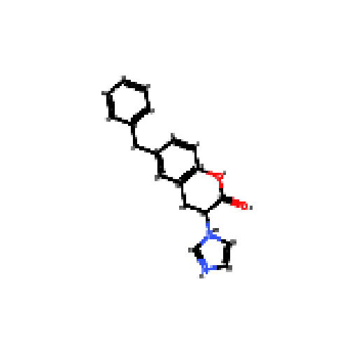 O=C1Oc2ccc(Cc3ccccc3)cc2CC1n1ccnc1